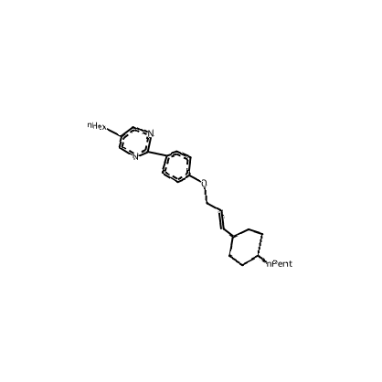 CCCCCCc1cnc(-c2ccc(OCC=CC3CCC(CCCCC)CC3)cc2)nc1